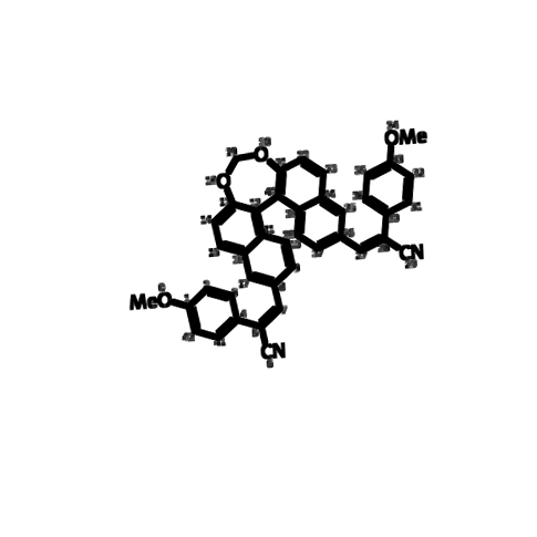 COc1ccc(/C(C#N)=C\c2ccc3c4c(ccc3c2)OCOc2ccc3cc(/C=C(/C#N)c5ccc(OC)cc5)ccc3c2-4)cc1